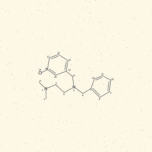 CN(C)CCN(Cc1ccccc1)Cc1cccc(Cl)c1